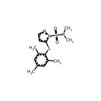 Cc1cc(C)c(Sc2ccnn2S(=O)(=O)N(C)C)c(C)c1